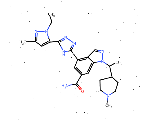 CCn1nc(C)cc1-c1nnc(-c2cc(C(N)=O)cc3c2cnn3C(C)C2CCN(C)CC2)[nH]1